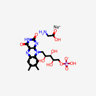 Cc1cc2nc3c(=O)[nH]c(=O)nc-3n(C[C@H](O)[C@H](O)[C@H](O)COP(=O)([O-])O)c2cc1C.NCC(=O)O.[Na+]